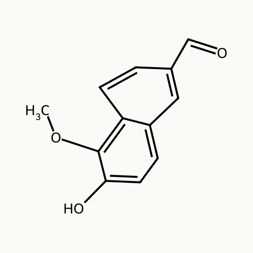 COc1c(O)ccc2cc(C=O)ccc12